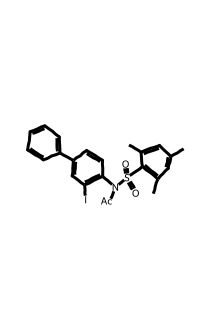 CC(=O)N(c1ccc(-c2ccccc2)cc1I)S(=O)(=O)c1c(C)cc(C)cc1C